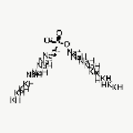 O=P([O-])([O-])[O-].[KH].[KH].[KH].[KH].[KH].[KH].[KH].[KH].[KH].[Na+].[Na+].[Na+].[NaH].[NaH].[NaH].[NaH].[NaH].[NaH]